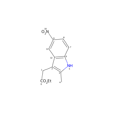 CCOC(=O)Cc1c(C)[nH]c2ccc([N+](=O)[O-])cc12